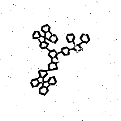 c1ccc(-c2nnc(-c3ccc(-c4cc(-c5ccc6c(c5)C5(c7ccccc7-c7ccccc75)c5ccccc5-6)cc5c4sc4ccc(-c6ccc7c(c6)C6(c8ccccc8-c8ccccc86)c6ccccc6-7)cc45)cc3)n2-c2ccccc2)cc1